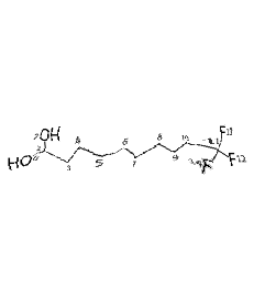 OC(O)CCCCCCCCC(F)(F)F